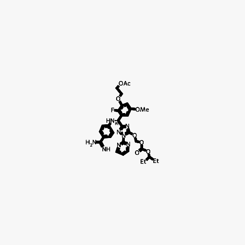 CCC(CC)OC(=O)OCOc1nc([C@H](Nc2ccc(C(=N)N)cc2)c2cc(OC)cc(OCCOC(C)=O)c2F)nn1-c1ncccn1